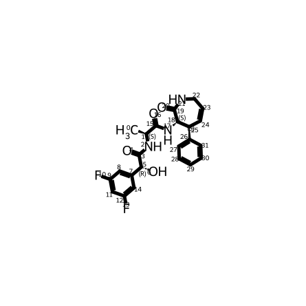 C[C@H](NC(=O)[C@H](O)c1cc(F)cc(F)c1)C(=O)N[C@@H]1C(=O)NCC=C[C@H]1c1ccccc1